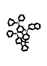 CC1(C)c2ccccc2-c2ccc(N(c3ccccc3)c3cc(N(c4ccccc4)c4ccccc4)cc4c3c3ccccc3n4-c3ccc4ccccc4c3)cc21